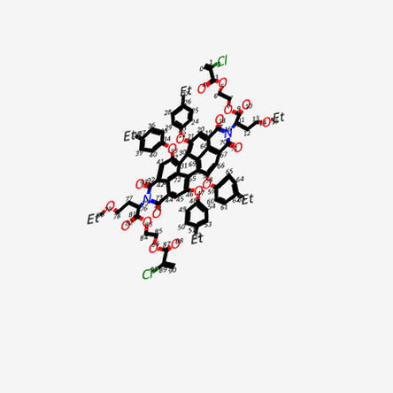 C=C(Cl)C(=O)OCCOC(=O)C(CCOCC)N1C(=O)c2cc(Oc3ccc(CC)cc3)c3c4c(Oc5ccc(CC)cc5)cc5c6c(cc(Oc7ccc(CC)cc7)c(c7c(Oc8ccc(CC)cc8)cc(c2c37)C1=O)c64)C(=O)N(C(CCOCC)C(=O)OCCOC(=O)C(=C)Cl)C5=O